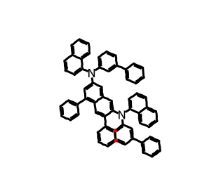 c1ccc(-c2cccc(N(c3cc(-c4ccccc4)c4cc(-c5ccccc5)c(N(c5cccc(-c6ccccc6)c5)c5cccc6ccccc56)cc4c3)c3cccc4ccccc34)c2)cc1